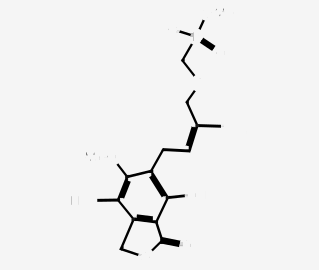 COc1c(C)c2c(c(O)c1CC=C(C)COCP(=O)(O)OC)C(=O)OC2